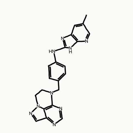 Cc1cnc2[nH]c(Nc3ccc(CN4CCn5ncc6ncnc4c65)cc3)nc2c1